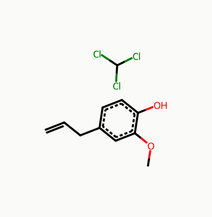 C=CCc1ccc(O)c(OC)c1.ClC(Cl)Cl